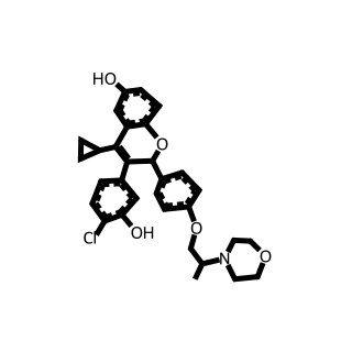 CC(COc1ccc(C2Oc3ccc(O)cc3C(C3CC3)=C2c2ccc(Cl)c(O)c2)cc1)N1CCOCC1